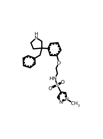 Cn1cc(S(=O)(=O)NCCOc2cccc(C3(Cc4ccccc4)CCNC3)c2)cn1